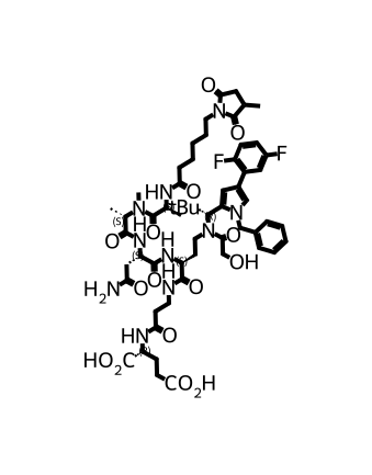 CC1CC(=O)N(CCCCCC(=O)N[C@@H](C)C(=O)N(C)[C@@H](C)C(=O)N[C@@H](CC(N)=O)C(=O)N[C@@H](CCN(C(=O)CO)[C@@H](c2cc(-c3cc(F)ccc3F)cn2Cc2ccccc2)C(C)(C)C)C(=O)NCCC(=O)N[C@H](CCC(=O)O)C(=O)O)C1=O